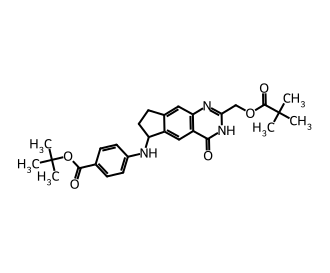 CC(C)(C)OC(=O)c1ccc(NC2CCc3cc4nc(COC(=O)C(C)(C)C)[nH]c(=O)c4cc32)cc1